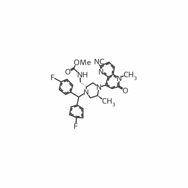 COC(=O)NC[C@@H]1CN(c2cc(=O)n(C)c3ccc(C#N)nc23)[C@@H](C)CN1C(c1ccc(F)cc1)c1ccc(F)cc1